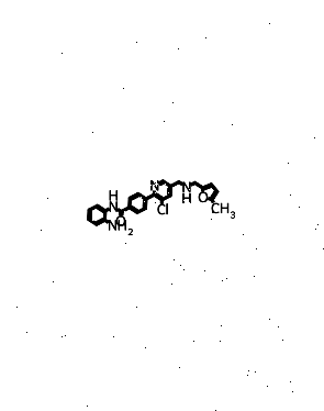 Cc1ccc(CNCc2cnc(-c3ccc(C(=O)Nc4ccccc4N)cc3)c(Cl)c2)o1